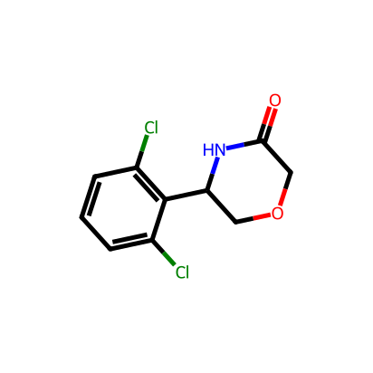 O=C1COCC(c2c(Cl)cccc2Cl)N1